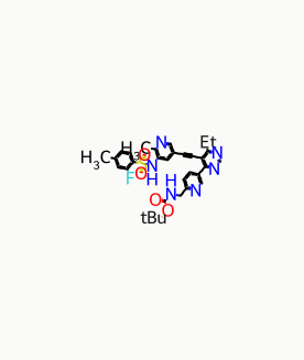 CCc1ncnc(-c2ccc(CNC(=O)OC(C)(C)C)nc2)c1C#Cc1cnc(C)c(NS(=O)(=O)c2ccc(C)cc2F)c1